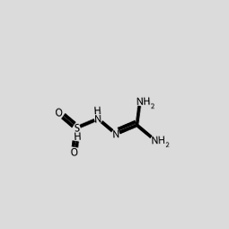 NC(N)=NN[SH](=O)=O